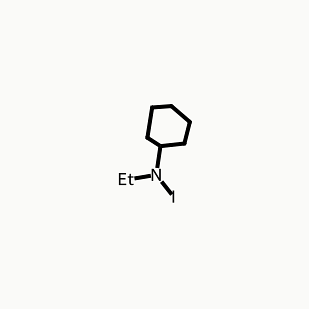 CCN(I)C1CCCCC1